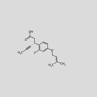 CC#C[C@H](CC(=O)O)c1ccc(OCC=C(C)C)cc1F